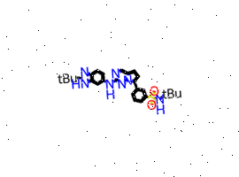 CC(C)(C)NS(=O)(=O)c1cccc(-c2ccc3cnc(Nc4ccc5nc(C(C)(C)C)[nH]c5c4)nn23)c1